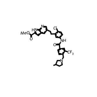 COC(=O)c1cc2cc(CCc3cc(NC(=O)c4ccc(CN5CCC(C)C5)c(C(F)(F)F)c4)ccc3Cl)cnc2[nH]1